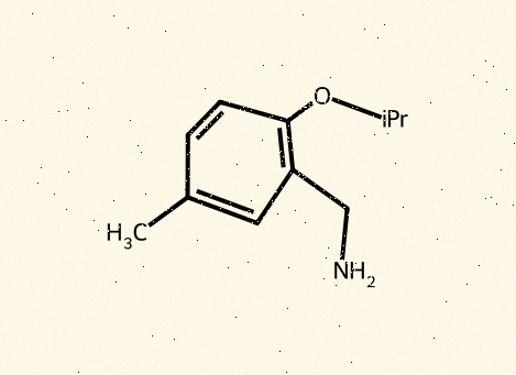 Cc1ccc(OC(C)C)c(CN)c1